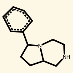 c1ccc(C2CCC3CNCCN32)cc1